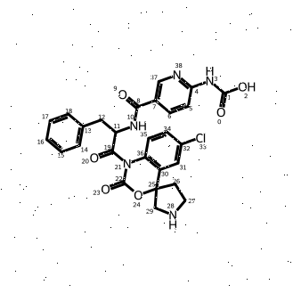 O=C(O)Nc1ccc(C(=O)NC(Cc2ccccc2)C(=O)N2C(=O)OC3(CCNC3)c3cc(Cl)ccc32)cn1